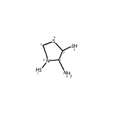 NC1C(S)SCN1S